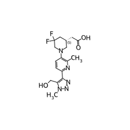 Cc1nc(-c2nnn(C)c2CO)ccc1N1C[C@@H](CC(=O)O)CC(F)(F)C1